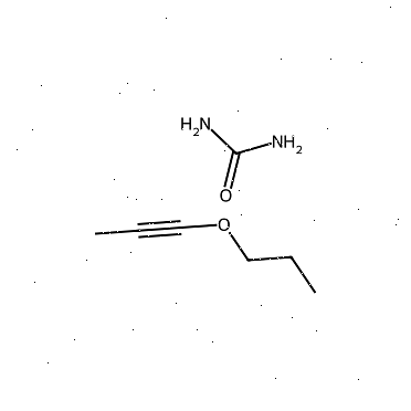 CC#COCCC.NC(N)=O